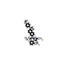 C=N/[N+](=C1/SC(C)C(=O)N1c1c(C)cccc1C)c1ccc2c(ccc3c2ncn3-c2ccc(OC(F)(F)F)cc2)c1